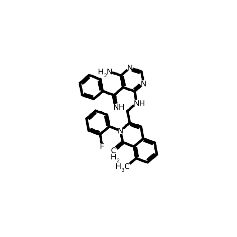 C=C1c2c(C)cccc2C=C(CNc2ncnc(N)c2C(=N)c2ccccc2)N1c1ccccc1F